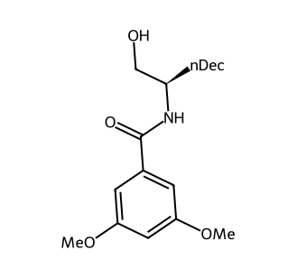 CCCCCCCCCC[C@H](CO)NC(=O)c1cc(OC)cc(OC)c1